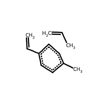 C=CC.C=Cc1ccc(C)cc1